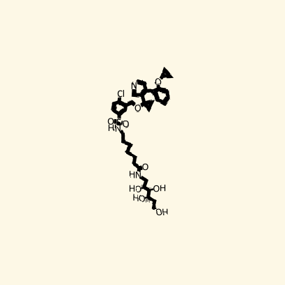 O=C(CCCCCCNS(=O)(=O)c1ccc(Cl)c(COC2(c3cnccc3-c3ccccc3OC3CC3)CC2)c1)NC[C@H](O)[C@@H](O)[C@H](O)CCO